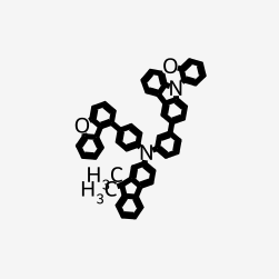 CC1(C)c2ccccc2-c2ccc(N(c3ccc(-c4cccc5oc6ccccc6c45)cc3)c3cccc(-c4ccc5c(c4)c4cccc6c4n5-c4ccccc4O6)c3)cc21